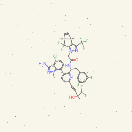 Cn1nc(N)c2c(Cl)ccc(-c3ccc(C#CC(C)(O)C(F)F)nc3[C@H](Cc3cc(F)cc(F)c3)NC(=O)Cn3nc(C(F)(F)F)c4c3C(F)(F)[C@@H]3C#C[C@H]43)c21